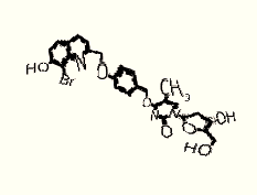 Cc1cn([C@H]2C[C@H](O)C(CO)O2)c(=O)nc1OCc1ccc(OCc2ccc3ccc(O)c(Br)c3n2)cc1